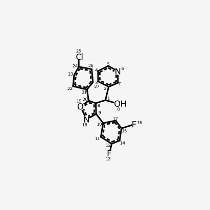 OC(c1cccnc1)c1c(-c2cc(F)cc(F)c2)noc1-c1ccc(Cl)cc1